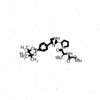 CC(C)(C)OC(=O)N[C@H](C(=O)N1CCC[C@H]1c1nc(-c2ccc(B3OC(C)(C)C(C)(C)O3)cc2)c[nH]1)C(C)(C)C